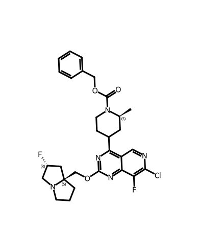 C[C@H]1CC(c2nc(OC[C@@]34CCCN3C[C@H](F)C4)nc3c(F)c(Cl)ncc23)CCN1C(=O)OCc1ccccc1